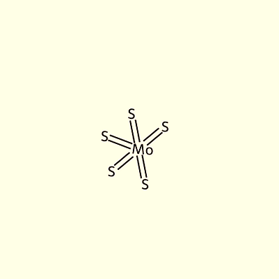 [S]=[Mo](=[S])(=[S])(=[S])=[S]